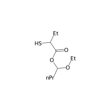 CCCC(OCC)OC(=O)C(S)CC